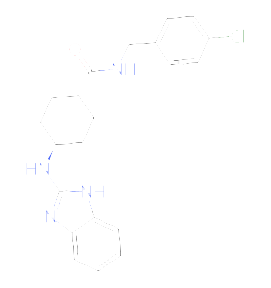 O=C(NCc1ccc(Cl)cc1)[C@H]1CC[C@H](Nc2nc3ccccc3[nH]2)CC1